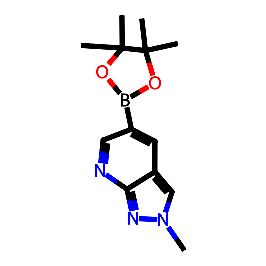 Cn1cc2cc(B3OC(C)(C)C(C)(C)O3)cnc2n1